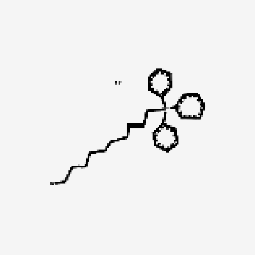 BrCCCCCCCC=CC[P+](c1ccccc1)(c1ccccc1)c1ccccc1.[Cl-]